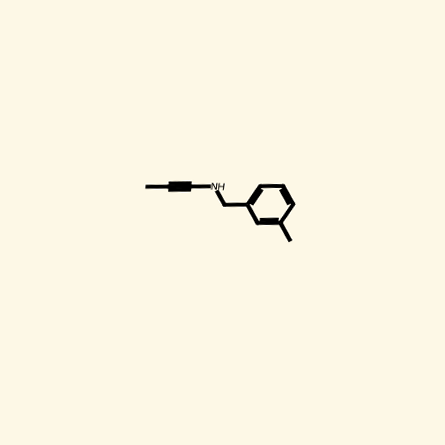 CC#CNCc1cccc(C)c1